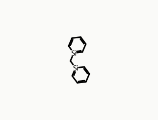 c1cc[si](C[si]2ccccc2)cc1